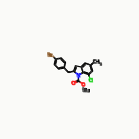 Cc1cc(Cl)c2c(c1)cc(Cc1ccc(Br)cc1)n2C(=O)OC(C)(C)C